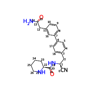 N#C[C@H](Cc1ccc(-c2cccc(CC(N)=O)c2)cc1)NC(=O)[C@@H]1CCCCN1